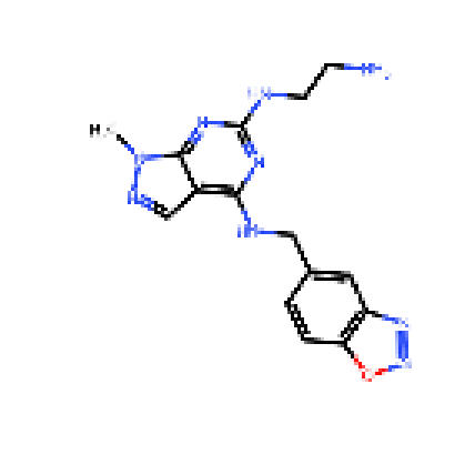 Cn1ncc2c(NCc3ccc4onnc4c3)nc(NCCN)nc21